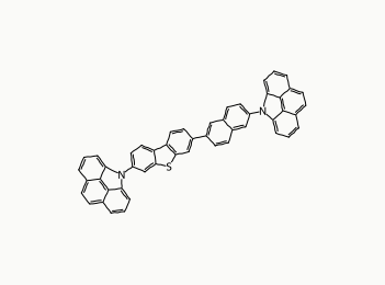 c1cc2ccc3cccc4c3c2c(c1)n4-c1ccc2cc(-c3ccc4c(c3)sc3cc(-n5c6cccc7ccc8cccc5c8c76)ccc34)ccc2c1